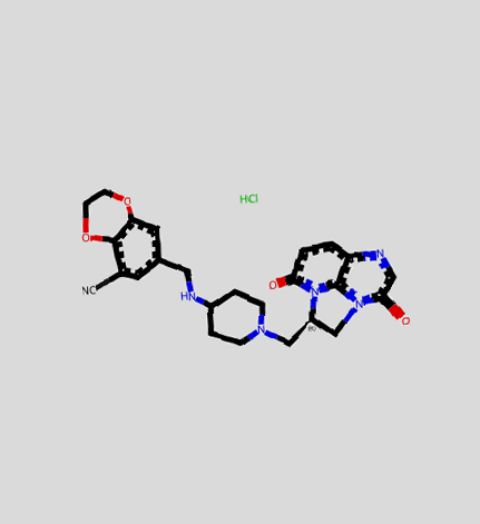 Cl.N#Cc1cc(CNC2CCN(C[C@@H]3Cn4c(=O)cnc5ccc(=O)n3c54)CC2)cc2c1OCCO2